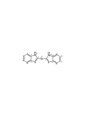 c1ccc2[nH][c]([Sc][c]3cc4ccccc4[nH]3)cc2c1